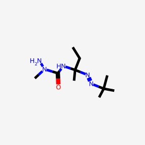 CCC(C)(N=NC(C)(C)C)NC(=O)N(C)N